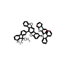 CC1(C)c2ccccc2-c2ccc(-c3c4oc5ccc(N(c6ccccc6-c6ccccc6)c6cccc7c6sc6ccccc67)cc5c4cc4oc5ccccc5c34)cc21